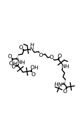 CCC(C)(NCCOCCOCC(=O)C(C)(CC)NCCCC[C@@H](NC(C)(C)C)C(=O)C(C)(C)C)C(=O)CC[C@H](NC(=O)C(C)(C)CC(C)(C)C(=O)O)C(=O)O